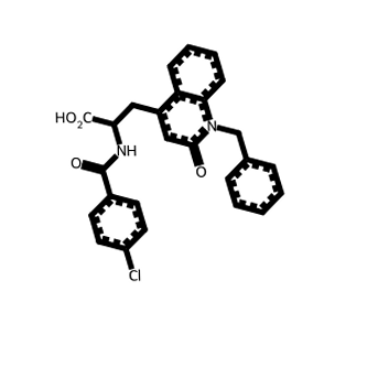 O=C(NC(Cc1cc(=O)n(Cc2ccccc2)c2ccccc12)C(=O)O)c1ccc(Cl)cc1